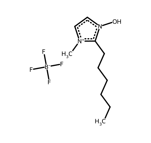 CCCCCCc1n(O)cc[n+]1C.F[B-](F)(F)F